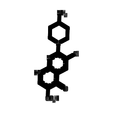 NC1CCN(c2nc3[nH]cc(C(=O)O)c(=O)c3cc2Cl)CC1